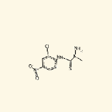 CN(N)C(=S)Nc1ccc([N+](=O)[O-])cc1Cl